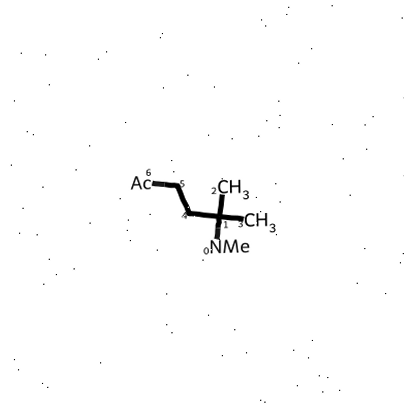 CNC(C)(C)CCC(C)=O